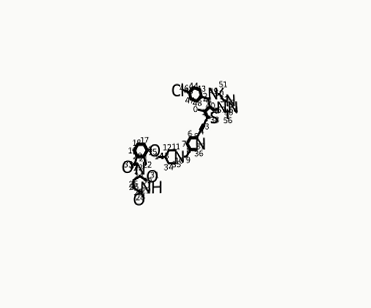 Cc1c(C#Cc2ccc(CN3CCC(COc4cccc5c4CN(C4CCC(=O)NC4=O)C5=O)CC3)cn2)sc2c1C(c1ccc(Cl)cc1)=N[C@@H](C)c1nnc(C)n1-2